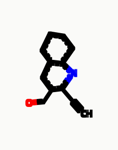 C#Cc1nc2ccccc2cc1C=O